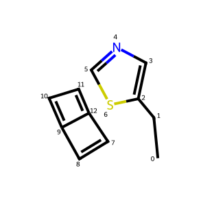 CCc1cncs1.c1cc2ccc1-2